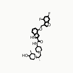 C[C@H]1CN([C@@H](C)CN2CCC(NC(=O)c3cc4c(OCc5coc6cc(F)cc(F)c56)cccc4[nH]3)CC2)CCC1O